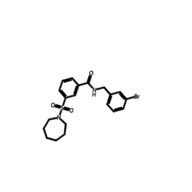 O=C(NCc1cccc(Br)c1)c1cccc(S(=O)(=O)N2CCCCCC2)c1